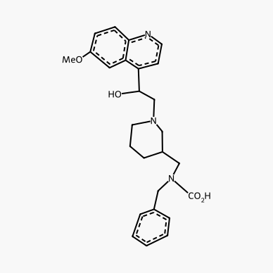 COc1ccc2nccc(C(O)CN3CCCC(CN(Cc4ccccc4)C(=O)O)C3)c2c1